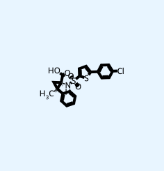 C[C@]1(c2ccccc2)C[C@@]1(NS(=O)(=O)c1ccc(-c2ccc(Cl)cc2)s1)C(=O)O